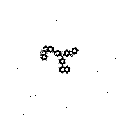 c1ccc2c(-c3ccc(N(c4ccc(-c5ccc6ccc7oc8ccccc8c7c6c5)cc4)c4ccc5c(c4)sc4ccccc45)cc3)cccc2c1